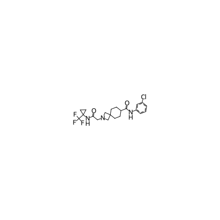 O=C(CN1CC2(CCC(C(=O)Nc3cccc(Cl)c3)CC2)C1)NC1(C(F)(F)F)CC1